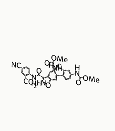 COC(=O)Nc1ccc(-c2cc3onc(C(=O)Nc4ccc(C#N)cc4C(=O)O)c3cc2NC(=O)OC)c(C)c1